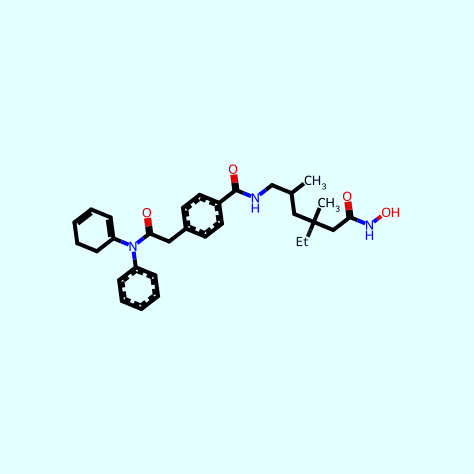 CCC(C)(CC(=O)NO)CC(C)CNC(=O)c1ccc(CC(=O)N(C2=CC=CCC2)c2ccccc2)cc1